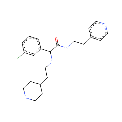 O=C(NCCc1ccncc1)C(NCCC1CCNCC1)c1cccc(Cl)c1